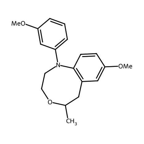 COc1cccc(N2CCOC(C)Cc3cc(OC)ccc32)c1